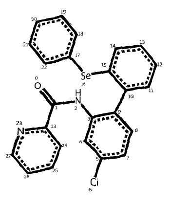 O=C(Nc1cc(Cl)ccc1-c1ccccc1[Se]c1ccccc1)c1ccccn1